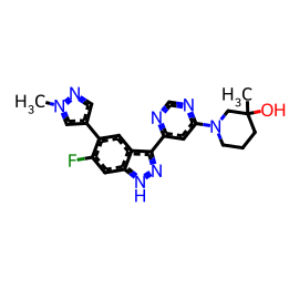 Cn1cc(-c2cc3c(-c4cc(N5CCCC(C)(O)C5)ncn4)n[nH]c3cc2F)cn1